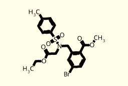 CCOC(=O)CN(Cc1cc(Br)ccc1C(=O)OC)S(=O)(=O)c1ccc(C)cc1